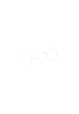 CN(C(=O)O)C1Cc2ccccc2O1